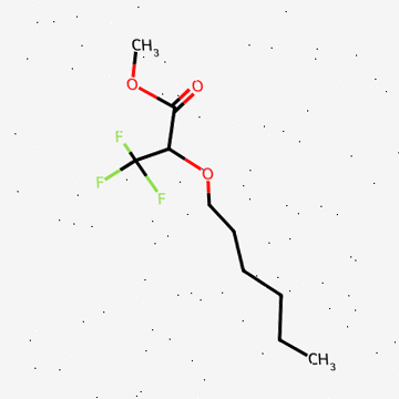 CCCCCCOC(C(=O)OC)C(F)(F)F